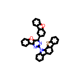 c1ccc2c(c1)oc1ccc(-c3nc(-n4c5ccccc5c5ccc6c7ccccc7sc6c54)nc4c3oc3ccccc34)cc12